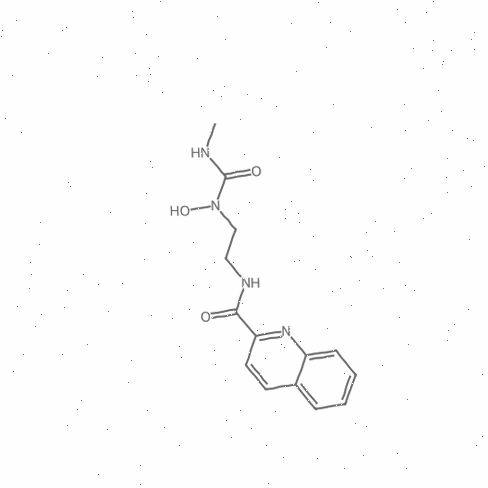 CNC(=O)N(O)CCNC(=O)c1ccc2ccccc2n1